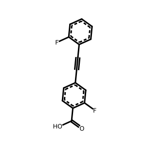 O=C(O)c1ccc(C#Cc2ccccc2F)cc1F